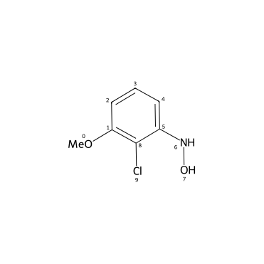 COc1cccc(NO)c1Cl